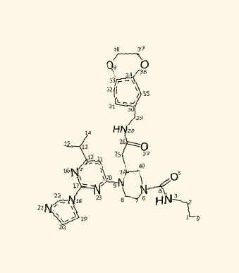 CCCNC(=O)N1CCN(c2cc(C(C)C)nc(-n3ccnc3)n2)C(CC(=O)NCc2ccc3c(c2)OCCO3)C1